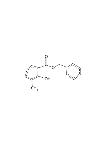 Cc1cccc(C(=O)OCc2ccccc2)c1O